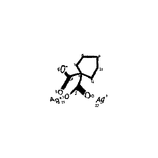 O=C([O-])C1(C(=O)[O-])CCCCC1.[Ag+].[Ag+]